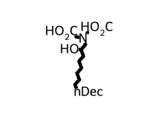 CCCCCCCCCCCCCCCCC(O)CN(CC(=O)O)CC(=O)O